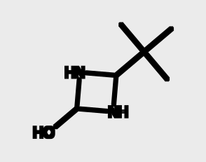 CC(C)(C)C1NC(O)N1